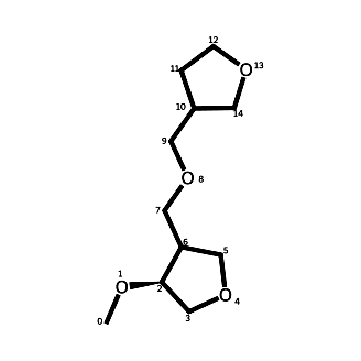 CO[C@@H]1COCC1COCC1CCOC1